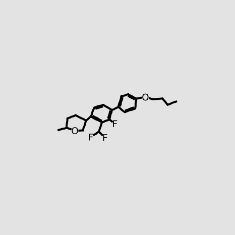 CCCCOc1ccc(-c2ccc(C3CCC(C)OC3)c(C(F)F)c2F)cc1